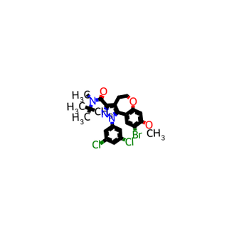 COc1cc2c(cc1Br)-c1c(c(C(=O)N(C)C(C)(C)C)nn1-c1cc(Cl)cc(Cl)c1)CCO2